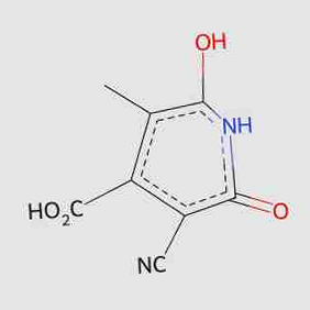 Cc1c(O)[nH]c(=O)c(C#N)c1C(=O)O